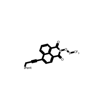 CCCC(C)CC#Cc1ccc2c3c(cccc13)C(=O)N(OSC(F)(F)F)C2=O